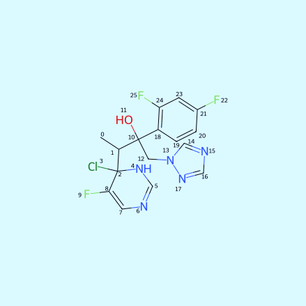 CC(C1(Cl)NC=NC=C1F)C(O)(Cn1cncn1)c1ccc(F)cc1F